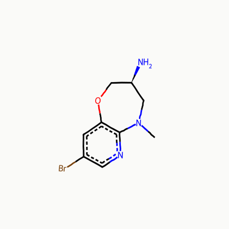 CN1C[C@H](N)COc2cc(Br)cnc21